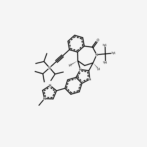 [2H]C([2H])([2H])N1C(=O)c2cccc(C#C[Si](C(C)C)(C(C)C)C(C)C)c2[C@H]2C[C@@H]1c1nc3ccc(-c4cn(C)cn4)cc3n12